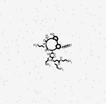 Cl.Cl.Cl.Cl.Cl.NCCC[C@@H](CC(=O)NCCN)NC(=O)[C@H](CCCN)NC(=O)[C@@H]1Cc2cccc(c2)-c2ccc(O)c(c2)C[C@H](N)C(=O)N[C@@H](CCCN)C(=O)N1